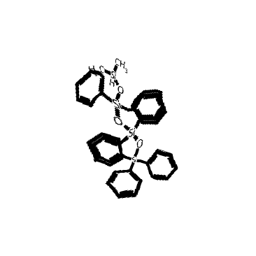 C[SiH](C)O[Si](O[Si](O[Si](c1ccccc1)(c1ccccc1)c1ccccc1)(c1ccccc1)c1ccccc1)(c1ccccc1)c1ccccc1